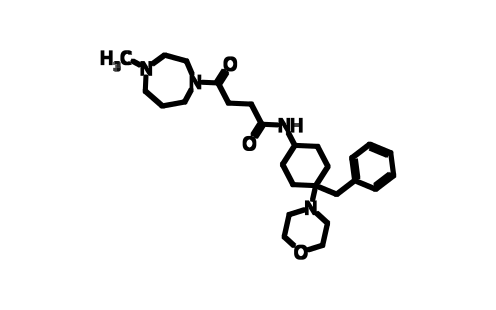 CN1CCCN(C(=O)CCC(=O)NC2CCC(Cc3ccccc3)(N3CCOCC3)CC2)CC1